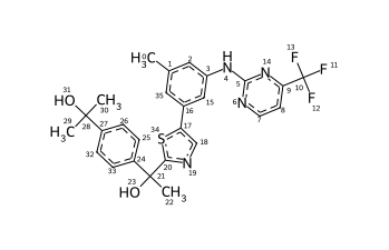 Cc1cc(Nc2nccc(C(F)(F)F)n2)cc(-c2cnc(C(C)(O)c3ccc(C(C)(C)O)cc3)s2)c1